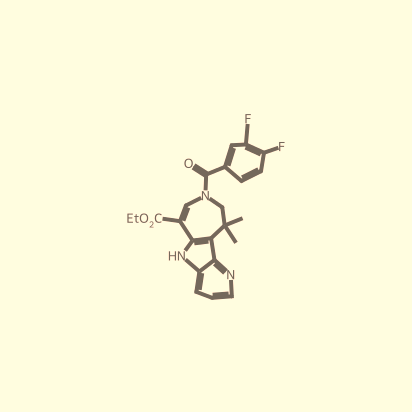 CCOC(=O)C1=CN(C(=O)c2ccc(F)c(F)c2)CC(C)(C)c2c1[nH]c1cccnc21